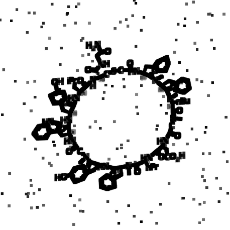 CCCC[C@H]1C(=O)N(C)CC(=O)N[C@@H](CC(=O)O)C(=O)N[C@@H](CCC)C(=O)N(C)[C@@H](Cc2ccccc2)C(=O)N[C@@H](Cc2ccc(O)cc2)C(=O)N(C)CC(=O)N[C@@H](Cc2c[nH]c3ccccc23)C(=O)N[C@@H](Cc2ccc(O)cc2)C(=O)N[C@@H](CC(C)C)C(=O)N[C@H](C(=O)NCC(N)=O)CSCC(=O)N[C@@H](Cc2ccccc2)C(=O)N(C)[C@@H](Cc2ccccc2)C(=O)N1C